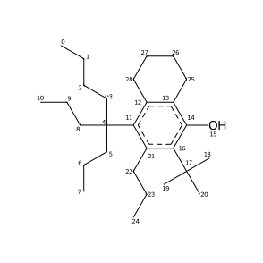 CCC[C]C(CCC)(CCC)c1c2c(c(O)c(C(C)(C)C)c1CCC)CCCC2